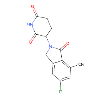 N#Cc1cc(Cl)cc2c1C(=O)N(C1CCC(=O)NC1=O)C2